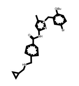 Cc1cc(NC(=O)c2ccc(CNCC3CC3)cc2)nn1Cc1cc(Br)ccc1OCC(C)C